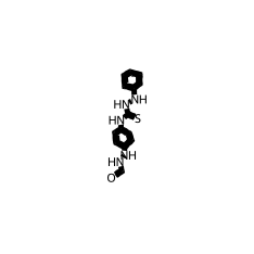 O=CNNc1ccc(NC(=S)NNc2ccccc2)cc1